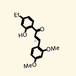 CCc1ccc(C(=O)/C=C/c2ccc(OC)cc2OC)c(O)c1